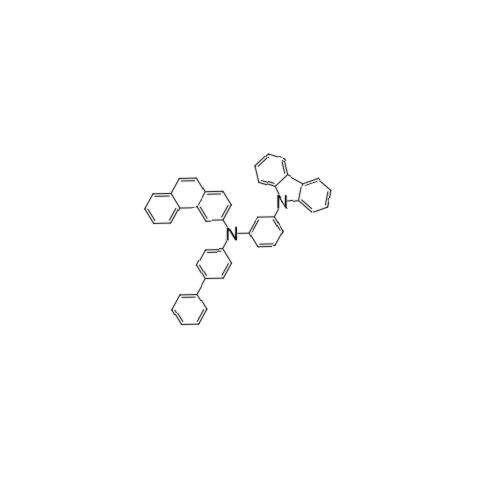 c1ccc(-c2ccc(N(c3cccc(-n4c5ccccc5c5ccccc54)c3)c3ccc4ccc5ccccc5c4c3)cc2)cc1